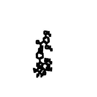 Cc1ccc(C)c(C(=O)NCc2ccc(-c3nn(C4(C(F)(F)F)CC4)c4c(=O)[nH]nc(N)c34)cc2)c1